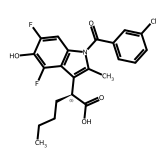 CCCC[C@H](C(=O)O)c1c(C)n(C(=O)c2cccc(Cl)c2)c2cc(F)c(O)c(F)c12